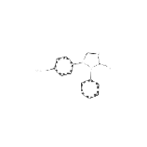 COc1ccc(N2CNC(S)N2c2ccccc2)cc1